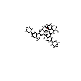 COc1ccc(N2CCOCC2)cc1-c1nc([N+](C)(C)c2ccc(N3CCOCC3)cc2-c2nc(N(C)C)c3ccccc3n2)c2ccccc2n1